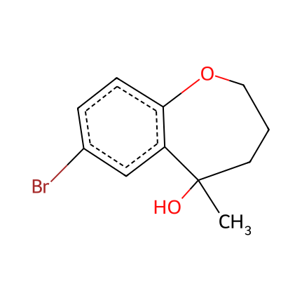 CC1(O)CCCOc2ccc(Br)cc21